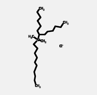 CCCCCCCCCC[N+](C)(C)C(CCCCCC)CCCCCC.[Cl-]